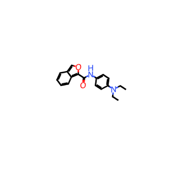 CCN(CC)c1ccc(NC(=O)c2occ3ccccc23)cc1